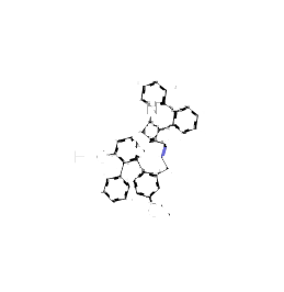 Cc1cc[n+]2c(c1-c1ccccc1)-c1ccc(C#N)cc1C/C=C/C21CC2C1c1ccccc1-c1cccc[n+]12